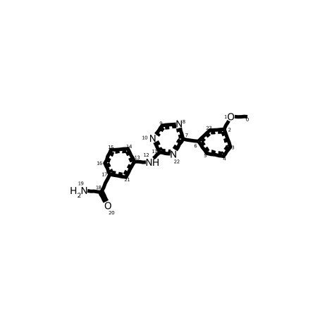 COc1cccc(-c2ncnc(Nc3cccc(C(N)=O)c3)n2)c1